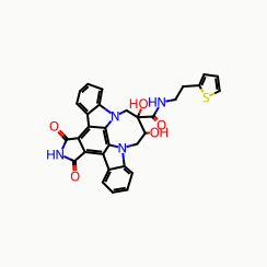 O=C1NC(=O)c2c1c1c3ccccc3n3c1c1c2c2ccccc2n1CC(O)(C(=O)NCCc1cccs1)C(O)C3